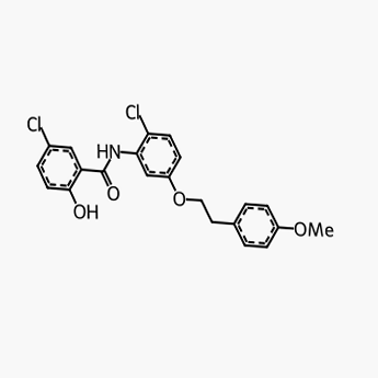 COc1ccc(CCOc2ccc(Cl)c(NC(=O)c3cc(Cl)ccc3O)c2)cc1